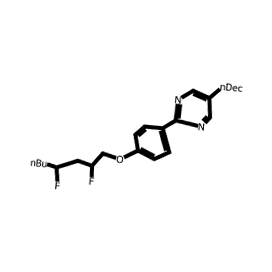 CCCCCCCCCCc1cnc(-c2ccc(OCC(F)CC(F)CCCC)cc2)nc1